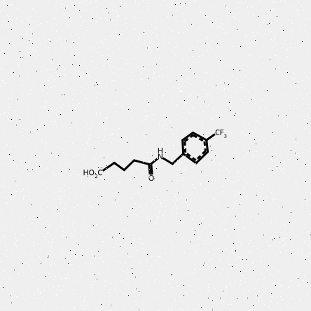 O=C(O)CCCC(=O)NCc1ccc(C(F)(F)F)cc1